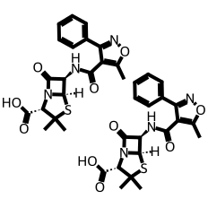 Cc1onc(-c2ccccc2)c1C(=O)N[C@@H]1C(=O)N2[C@@H]1SC(C)(C)[C@@H]2C(=O)O.Cc1onc(-c2ccccc2)c1C(=O)N[C@@H]1C(=O)N2[C@@H]1SC(C)(C)[C@@H]2C(=O)O